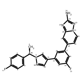 C[C@H](c1ccc(F)cc1)n1cc(-c2cc(F)cc(-c3ccn4nc(N)nc4c3)c2)cn1